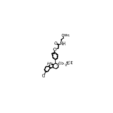 CCOC(=O)N1CCc2c([nH]c3ccc(Cl)cc23)C1c1ccc(OCC(=O)NCCOC)cc1